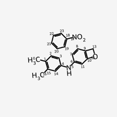 Cc1ccc(Nc2ccc3c(c2)OC3)cc1C.O=[N+]([O-])c1ccccc1